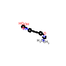 CN(C)[C@@H]1CCN(C(=O)c2ccc(C#CC#Cc3ccc(NCC4=C(O)C(O)C=CO4)cc3)cc2)C1